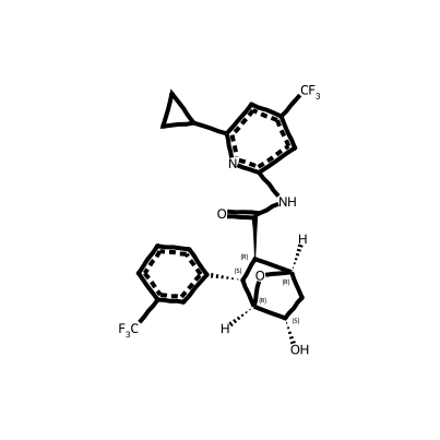 O=C(Nc1cc(C(F)(F)F)cc(C2CC2)n1)[C@@H]1[C@@H](c2cccc(C(F)(F)F)c2)[C@H]2O[C@@H]1C[C@@H]2O